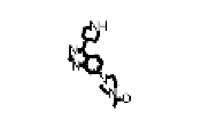 CC(=O)N1CCN(c2ccc3c(C4CCNCC4)ncnc3c2)CC1